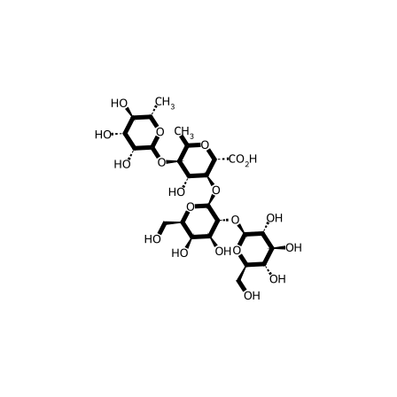 CC1O[C@H](C(=O)O)[C@@H](O[C@@H]2O[C@H](CO)[C@H](O)[C@H](O)[C@H]2O[C@@H]2O[C@H](CO)[C@@H](O)[C@H](O)[C@H]2O)[C@H](O)[C@H]1OC1O[C@@H](C)[C@H](O)[C@@H](O)[C@H]1O